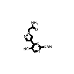 CNc1ncc(C#N)c(-c2cnn(CC(N)=O)c2)n1